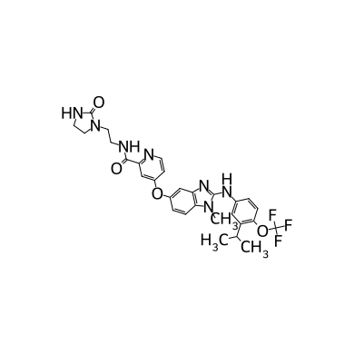 CC(C)c1cc(Nc2nc3cc(Oc4ccnc(C(=O)NCCN5CCNC5=O)c4)ccc3n2C)ccc1OC(F)(F)F